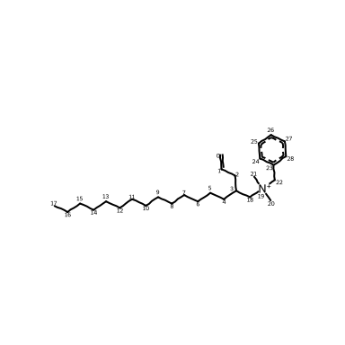 C=CCC(CCCCCCCCCCCCCC)C[N+](C)(C)Cc1ccccc1